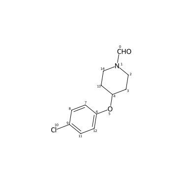 O=CN1CCC(Oc2ccc(Cl)cc2)CC1